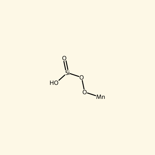 O=[Si](O)O[O][Mn]